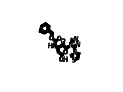 O=C(O)CC(NC(=O)OCc1ccccc1)C(=O)Cn1nnnc1N1C=CSC1